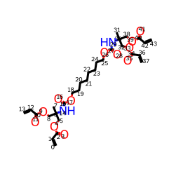 C=CC(=O)OCC(C)(COC(=O)C=C)NC(=O)OCCCCCCCCOC(=O)NC(C)(COC(=O)C=C)COC(=O)C=C